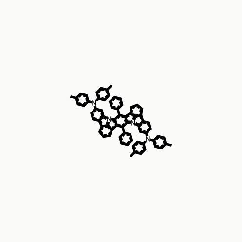 Cc1ccc(N(c2ccc(C)cc2)c2ccc3c4cccc5c6c(-c7ccccc7)c7c(c(-c8ccccc8)c6n(c3c2)c45)c2cccc3c4ccc(N(c5ccc(C)cc5)c5ccc(C)cc5)cc4n7c32)cc1